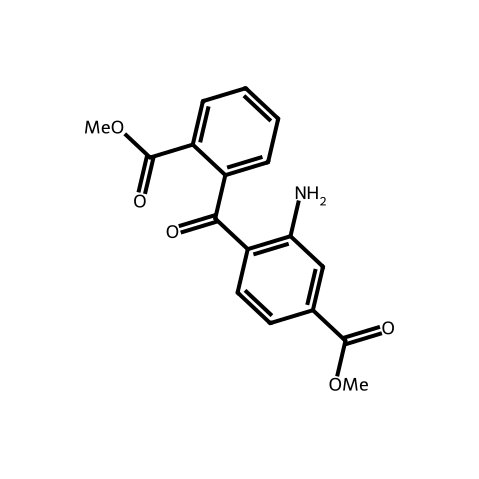 COC(=O)c1ccc(C(=O)c2ccccc2C(=O)OC)c(N)c1